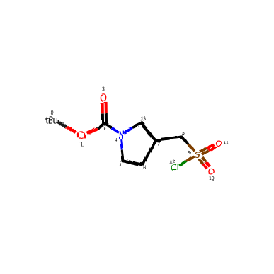 CC(C)(C)OC(=O)N1CCC(CS(=O)(=O)Cl)C1